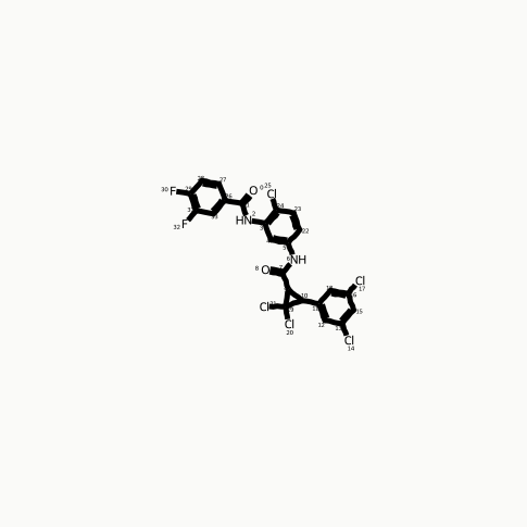 O=C(Nc1cc(NC(=O)C2C(c3cc(Cl)cc(Cl)c3)C2(Cl)Cl)ccc1Cl)c1ccc(F)c(F)c1